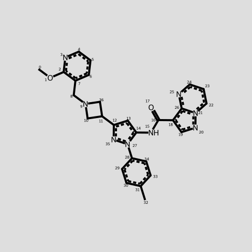 COc1ncccc1CN1CC(c2cc(NC(=O)c3cnn4cccnc34)n(-c3ccc(C)cc3)n2)C1